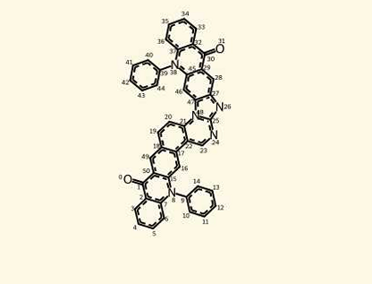 O=c1c2ccccc2n(-c2ccccc2)c2cc3c(ccc4c3cnc3nc5cc6c(=O)c7ccccc7n(-c7ccccc7)c6cc5n34)cc12